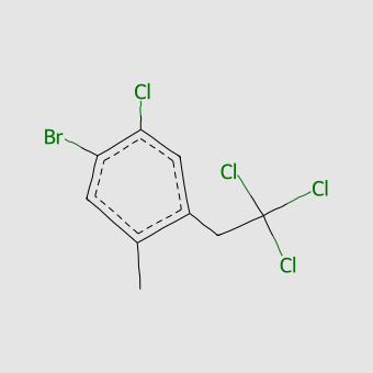 Cc1cc(Br)c(Cl)cc1CC(Cl)(Cl)Cl